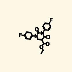 CCOC(=O)c1cn(-c2ccc(F)cc2)c(=O)n(-c2ccc(F)cc2)c1=O